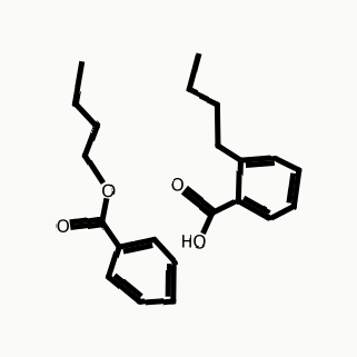 CCCCOC(=O)c1ccccc1.CCCCc1ccccc1C(=O)O